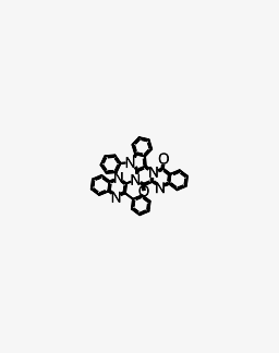 O=c1c2nc3ccccc3c(=O)n2c2c3ccccc3n(-c3ccccc3)c2n1-c1nc2ccccc2nc1-c1ccccc1